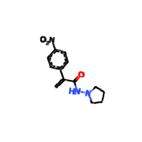 C=C(C(=O)NN1CCCC1)c1ccc([N+](=O)[O-])cc1